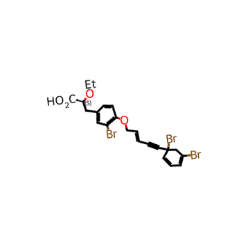 CCO[C@@H](Cc1ccc(OCC=CC#CC2(Br)C=CC=C(Br)C2)c(Br)c1)C(=O)O